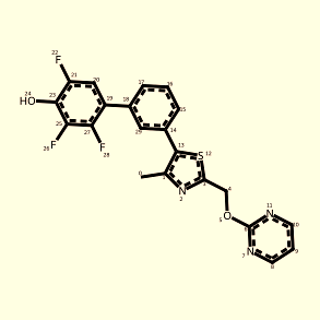 Cc1nc(COc2ncccn2)sc1-c1cccc(-c2cc(F)c(O)c(F)c2F)c1